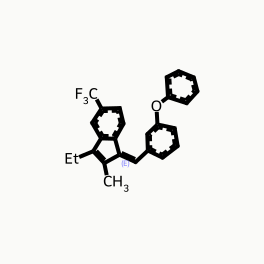 CCC1=C(C)/C(=C/c2cccc(Oc3ccccc3)c2)c2ccc(C(F)(F)F)cc21